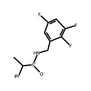 CC(C)C(C)[S+]([O-])NCc1cc(F)cc(F)c1F